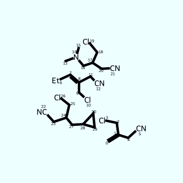 C=C(CCl)CC#N.CC/C=C(\CCl)CC#N.CN(C)CC(CCl)CC#N.N#CCC(CCl)CC1CC1